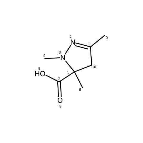 CC1=NN(C)C(C)(C(=O)O)C1